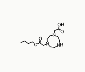 CCCCOC(=O)CN1CCNCCN(CC(=O)O)CC1